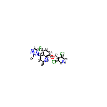 Cc1cc(-n2ccnc2C)c2c(F)ccc(OCc3c(Cl)cncc3Cl)c2n1